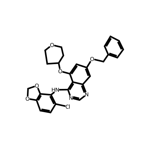 Clc1ccc2c(c1Nc1ncnc3cc(OCc4ccccc4)cc(OC4CCOCC4)c13)OCO2